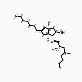 CCCC[C@H](C)C[C@H](O)/C=C/[C@@H]1[C@H]2CC(CCCCCCN)=C[C@H]2C[C@H]1O